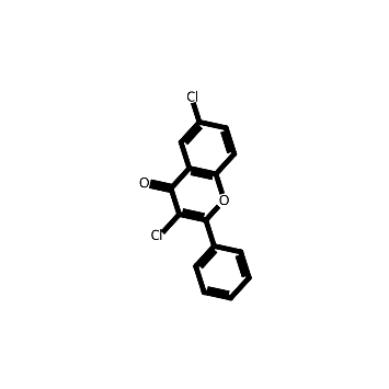 O=c1c(Cl)c(-c2ccccc2)oc2ccc(Cl)cc12